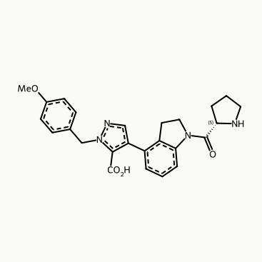 COc1ccc(Cn2ncc(-c3cccc4c3CCN4C(=O)[C@@H]3CCCN3)c2C(=O)O)cc1